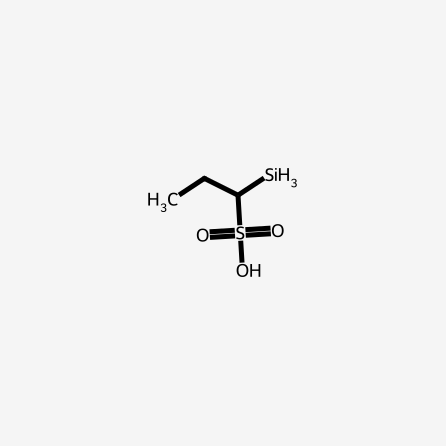 CCC([SiH3])S(=O)(=O)O